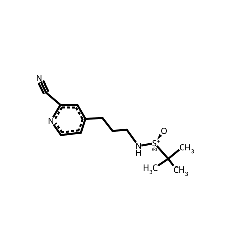 CC(C)(C)[S@+]([O-])NCCCc1ccnc(C#N)c1